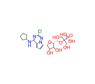 O=P(O)(O)C(CO)(CO)OC[C@H]1O[C@@H](c2ccc3c(NC4CCCC4)nc(Cl)nn23)[C@H](O)[C@@H]1O